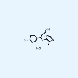 Cc1nn[nH]c1CC(CC=N)c1ccc(Br)cc1.Cl